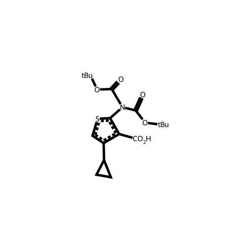 CC(C)(C)OC(=O)N(C(=O)OC(C)(C)C)c1scc(C2CC2)c1C(=O)O